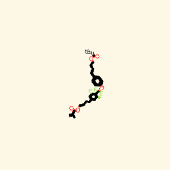 C=C(C)C(=O)OCCCCc1cc(F)c(C(F)(F)Oc2ccc(CCCCOC(=O)C(C)(C)C)cc2)c(F)c1